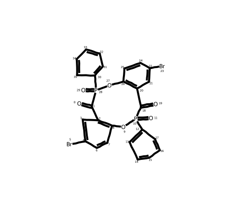 O=C1c2cc(Br)ccc2OP(=O)(c2ccccc2)C(=O)c2cc(Br)ccc2OP1(=O)c1ccccc1